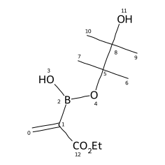 C=C(B(O)OC(C)(C)C(C)(C)O)C(=O)OCC